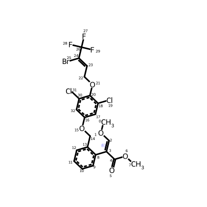 CO/C=C(/C(=O)OC)c1ccccc1COc1cc(Cl)c(OCC=C(Br)C(F)(F)F)c(Cl)c1